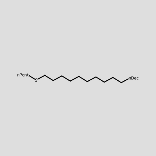 CCCCCCCCCCCCCCCCCCC[CH]SCCCCC